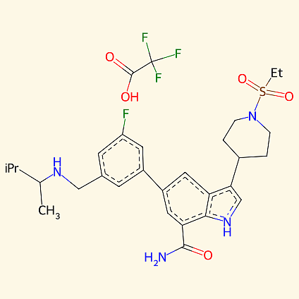 CCS(=O)(=O)N1CCC(c2c[nH]c3c(C(N)=O)cc(-c4cc(F)cc(CNC(C)C(C)C)c4)cc23)CC1.O=C(O)C(F)(F)F